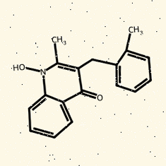 Cc1ccccc1Cc1c(C)n(O)c2ccccc2c1=O